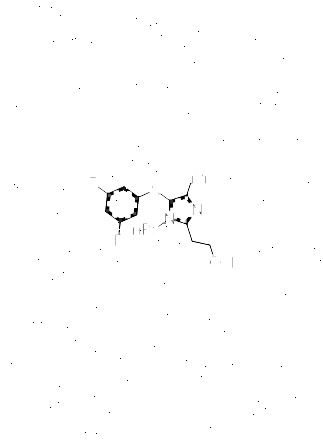 CCCn1c(CCO)nc(C(C)C)c1Sc1cc(F)cc(F)c1